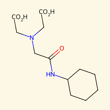 O=C(O)CN(CC(=O)O)CC(=O)NC1CCCCC1